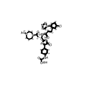 COC(=O)Nc1ccc(-c2nc([C@H](CC(=O)N3CCCN(C(C)=O)CC3)NC(=O)/C=C/c3cc(Cl)ccc3-n3cnnn3)[nH]c2Cl)cc1